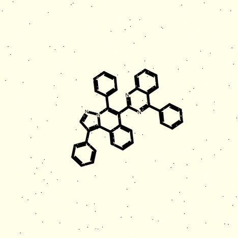 c1ccc(-c2nc(-c3c(-c4ccccc4)n4ncc(-c5ccccc5)c4c4ccccc34)nc3ccccc23)cc1